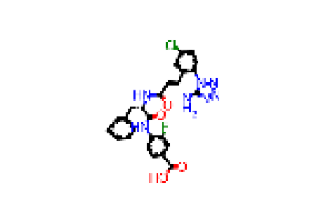 Nc1nnnn1-c1ccc(Cl)cc1C=CC(=O)N[C@@H](Cc1ccccc1)C(=O)Nc1ccc(C(=O)O)cc1F